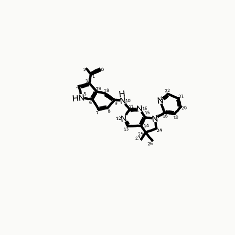 C=C(C)c1c[nH]c2ccc(Nc3ncc4c(n3)N(c3ccccn3)CC4(C)C)cc12